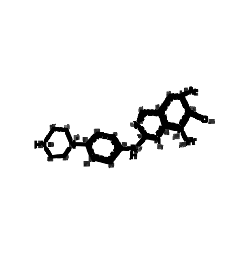 CC(=O)c1cc2cnc(Nc3ccc(N4CCNCC4)nc3)nc2n(C(C)C)c1=O